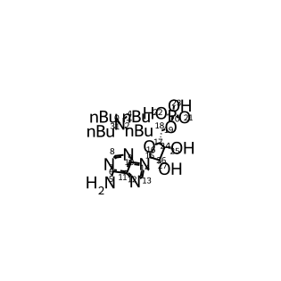 CCCC[N+](CCCC)(CCCC)CCCC.Nc1ncnc2c1ncn2[C@@H]1O[C@H](COP(=O)(O)O)[C@@H](O)[C@H]1O